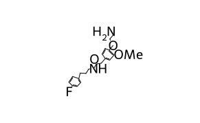 COc1cc(CC(=O)NCCCc2ccc(F)cc2)ccc1OCCN